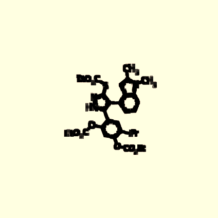 CCOC(=O)Oc1cc(OC(=O)OCC)c(C(C)C)cc1-c1[nH]nc(SC(=O)OCC)c1-c1cccc2c1cc(C)n2C